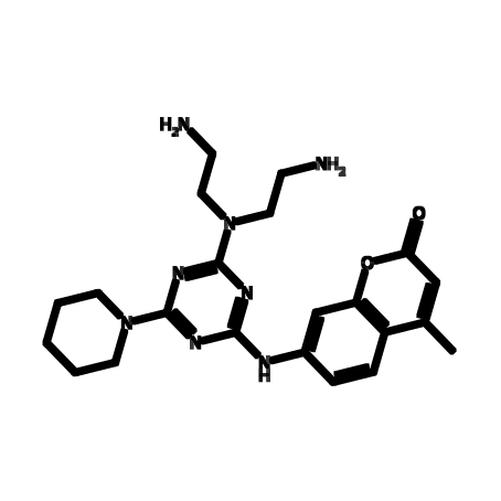 Cc1cc(=O)oc2cc(Nc3nc(N(CCN)CCN)nc(N4CCCCC4)n3)ccc12